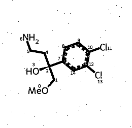 COC[C@](O)(CCN)c1ccc(Cl)c(Cl)c1